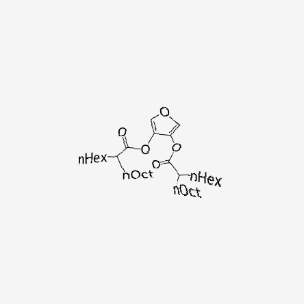 CCCCCCCCC(CCCCCC)C(=O)Oc1cocc1OC(=O)C(CCCCCC)CCCCCCCC